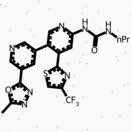 CCCNC(=O)Nc1cc(-c2nc(C(F)(F)F)cs2)c(-c2cncc(-c3nnc(C)o3)c2)cn1